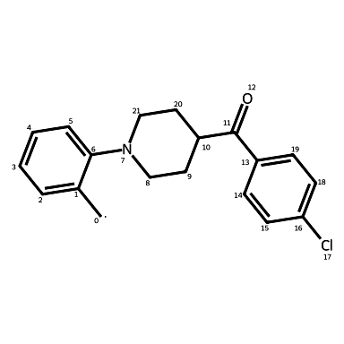 [CH2]c1ccccc1N1CCC(C(=O)c2ccc(Cl)cc2)CC1